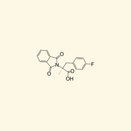 C[C@](Cc1ccc(F)cc1)(C(=O)O)N1C(=O)c2ccccc2C1=O